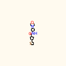 O=C(Nc1ccc(N2CCOCC2)cc1)c1ccc(-c2cccs2)cc1